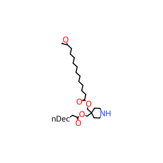 CCCCCCCCCCCC(=O)OCC1(COC(=O)CCCCCCCCCCCC2CO2)CCNCC1